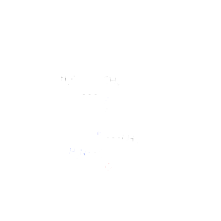 C=C/C(C)=C\C=C(/C)C(N)=O